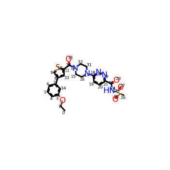 CCOc1cccc(-c2csc(C(=O)N3CCN(c4ccc(C(=O)NS(C)(=O)=O)nn4)CC3)c2)c1